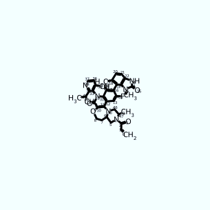 C=CC(=O)N1CC2CCOc3c(c4cc(F)c(-c5c(C)ccc6[nH]c(=O)n(C)c56)c(F)c4n(-c4c(C)ccnc4C(C)C)c3=O)N2CC1C